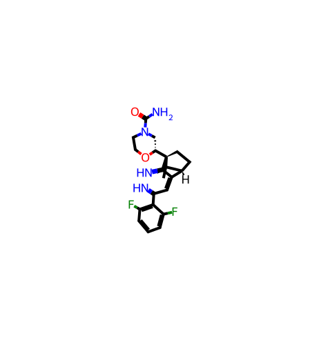 CC1(C)[C@H]2CC[C@]1([C@H]1CN(C(N)=O)CCO1)C(=N)/C2=C\C(=N)c1c(F)cccc1F